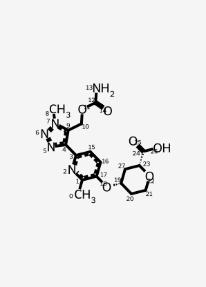 Cc1nc(-c2nnn(C)c2COC(N)=O)ccc1O[C@H]1CCO[C@@H](C(=O)O)C1